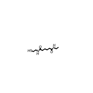 CCNC(=O)CCCCC(=O)NCCS